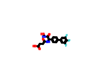 O=C(O)CCC(=O)NC(C(=O)NO)c1ccc(-c2cc(F)c(F)c(F)c2)cc1